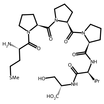 CSCC[C@H](N)C(=O)N1CCC[C@H]1C(=O)N1CCC[C@H]1C(=O)N1CCC[C@H]1C(=O)N[C@H](C(=O)N[C@@H](CO)C(=O)O)C(C)C